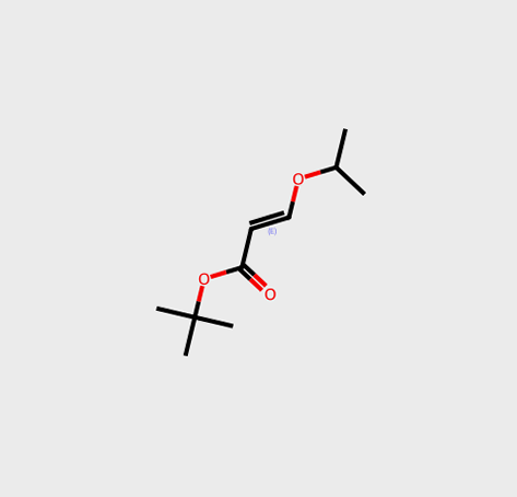 CC(C)O/C=C/C(=O)OC(C)(C)C